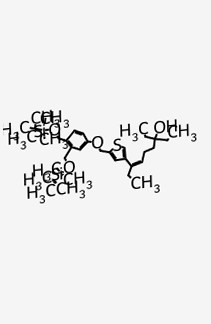 CC/C(=C/CCC(O)(CC)CC)c1csc(COc2ccc(CO[Si](C)(C)C(C)(C)C)c(CO[Si](C)(C)C(C)(C)C)c2)c1